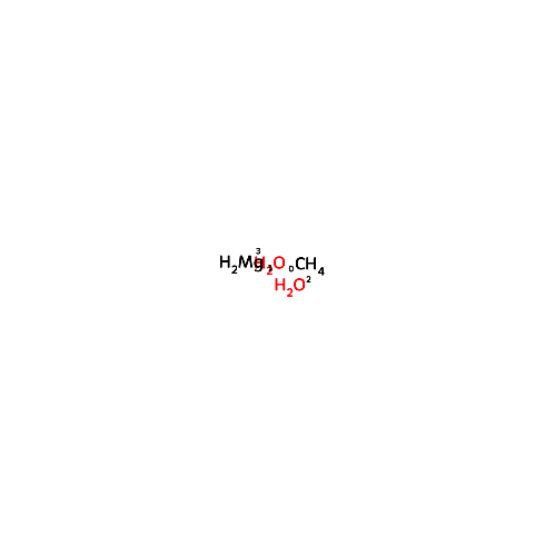 C.O.O.[MgH2]